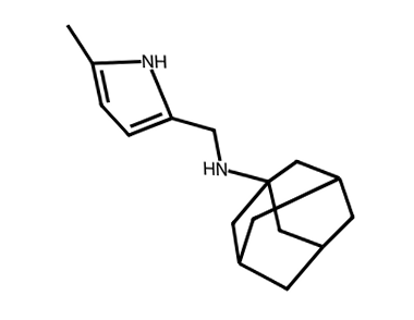 Cc1ccc(CNC23CC4CC(CC(C4)C2)C3)[nH]1